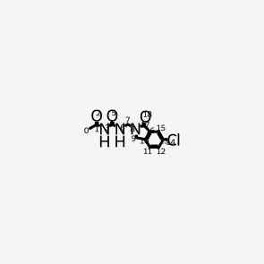 CC(=O)NC(=O)NCN1Cc2ccc(Cl)cc2C1=O